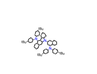 CC(C)(C)c1ccc(N(c2ccc(C(C)(C)C)cc2)c2cc(-n3c4ccccc4c4c(N(c5ccc(C(C)(C)C)cc5)c5ccc(C(C)(C)C)cc5)c5ccccc5cc43)cc3ccccc23)cc1